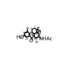 CC(=O)N[C@@H]1C[C@H]2C(C)(C)CCC[C@]2(C)[C@@H](C(=O)c2cc(C)cc(O)c2)[C@H]1C